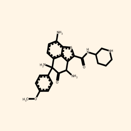 COc1ccc(C2(N)C(=O)C(N)c3c(C(=O)NC4CCCNC4)sc4c(N)ccc2c34)cc1